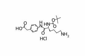 CC(C)(C)OC(=O)N[C@@H](CCCCN)C(=O)Nc1ccc(CC(=O)O)cc1.Cl